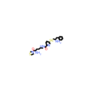 NC(CSSc1ccc(C(=O)NCCCCC(N)C(=O)N2CCSC2)nc1)Cc1ccccc1